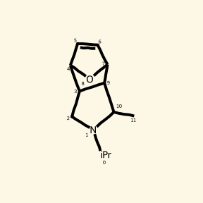 CC(C)N1CC2C3C=CC(O3)C2C1C